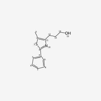 Cc1sc(-c2ccccc2)nc1CCCO